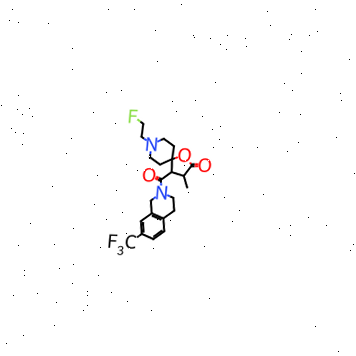 CC1C(=O)OC2(CCN(CCF)CC2)C1C(=O)N1CCc2ccc(C(F)(F)F)cc2C1